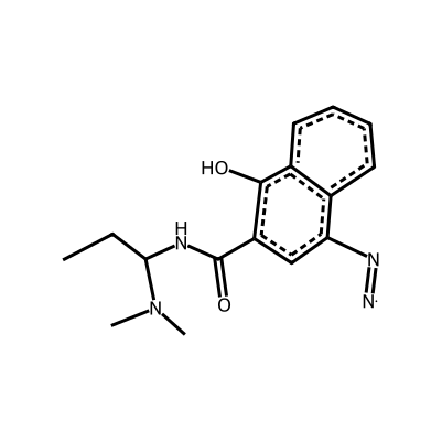 CCC(NC(=O)c1cc(N=[N])c2ccccc2c1O)N(C)C